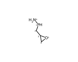 NPCC1CO1